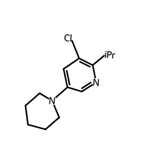 CC(C)c1ncc(N2CCCCC2)cc1Cl